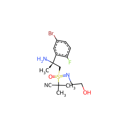 CC(C)(C#N)[S@@](=O)(C[C@](C)(N)c1cc(Br)ccc1F)=NCCO